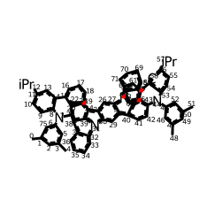 Cc1cc(C)cc(N(c2ccc(C(C)C)cc2-c2ccccc2)c2ccc3c4cc5c(cc4n4c6ccccc6c2c34)c2ccc(N(c3cc(C)cc(C)c3)c3ccc(C(C)C)cc3-c3ccccc3)c3c4ccccc4n5c23)c1